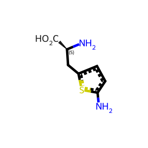 Nc1ccc(C[C@H](N)C(=O)O)s1